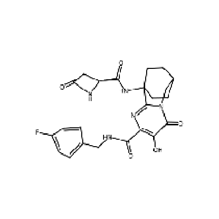 O=C1C[C@@H](C(=O)NC23CCC(CC2)Cn2c3nc(C(=O)NCc3ccc(F)cc3)c(O)c2=O)N1